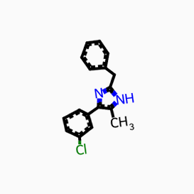 Cc1[nH]c(Cc2ccccc2)nc1-c1cccc(Cl)c1